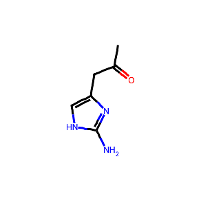 CC(=O)Cc1c[nH]c(N)n1